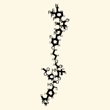 CC(=O)O[C@@H]1C[C@@H](C(=O)N[C@@H](C)c2ccc(-c3scnc3C)cc2)N(C(=O)[C@@H](NC(=O)COCCCCOc2ccc(-c3ccc(N4C(=S)N(c5ccc(C#N)c(C(F)(F)F)c5F)C(=O)C4(C)C)cn3)c(F)c2)C(C)(C)C)C1